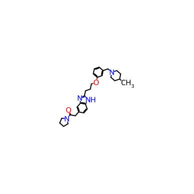 CC1CCN(Cc2cccc(OCCCc3nc4cc(CC(=O)N5CCCC5)ccc4[nH]3)c2)CC1